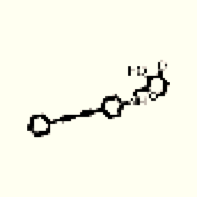 O=c1ccoc(CNc2ccc(C#CC#Cc3ccccc3)cc2)c1O